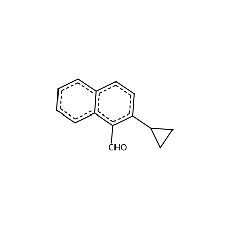 O=Cc1c(C2CC2)ccc2ccccc12